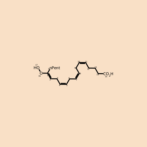 CCCCC/C(=C\C/C=C\C/C=C\C/C=C\CCCC(=O)O)OO